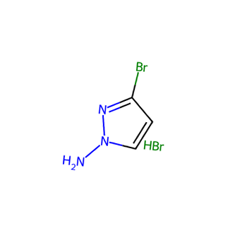 Br.Nn1ccc(Br)n1